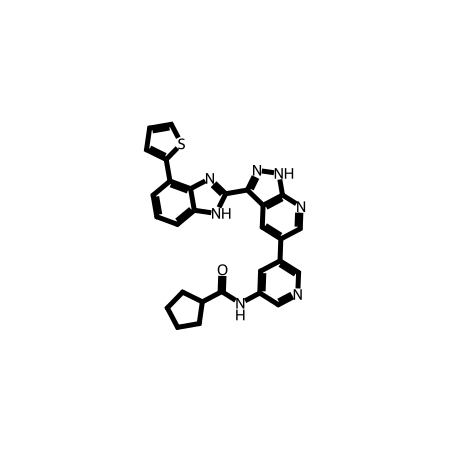 O=C(Nc1cncc(-c2cnc3[nH]nc(-c4nc5c(-c6cccs6)cccc5[nH]4)c3c2)c1)C1CCCC1